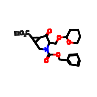 CCOC(=O)C1C2CN(C(=O)OCc3ccccc3)C(COC3CCCCO3)C(=O)C21